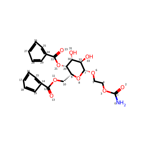 NC(=O)OCCO[C@@H]1O[C@H](COC(=O)c2ccccc2)[C@H](OC(=O)c2ccccc2)[C@H](O)[C@H]1O